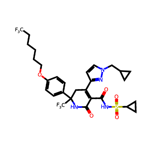 O=C1NC(c2ccc(OCCCCCC(F)(F)F)cc2)(C(F)(F)F)CC(c2ccn(CC3CC3)n2)=C1C(=O)NS(=O)(=O)C1CC1